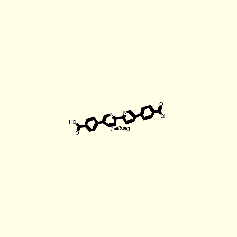 O=C(O)c1ccc(-c2ccc(-c3ccc(-c4ccc(C(=O)O)cc4)cn3)nc2)cc1.[Cl][Ru][Cl]